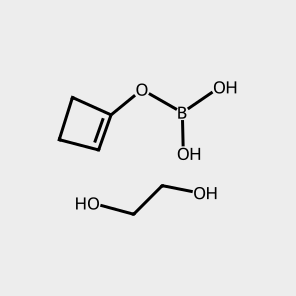 OB(O)OC1=CCC1.OCCO